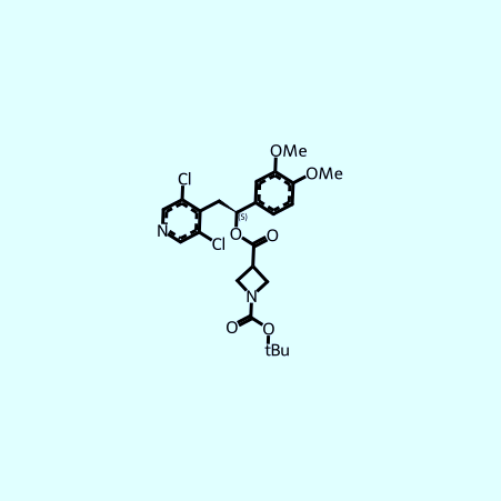 COc1ccc([C@H](Cc2c(Cl)cncc2Cl)OC(=O)C2CN(C(=O)OC(C)(C)C)C2)cc1OC